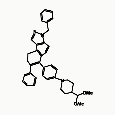 COC(OC)C1CCN(c2ccc(C3=C(c4ccccc4)CCc4c3ccc3c4cnn3Cc3ccccc3)cc2)CC1